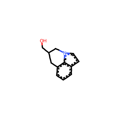 OCC1Cc2cccc3ccn(c23)C1